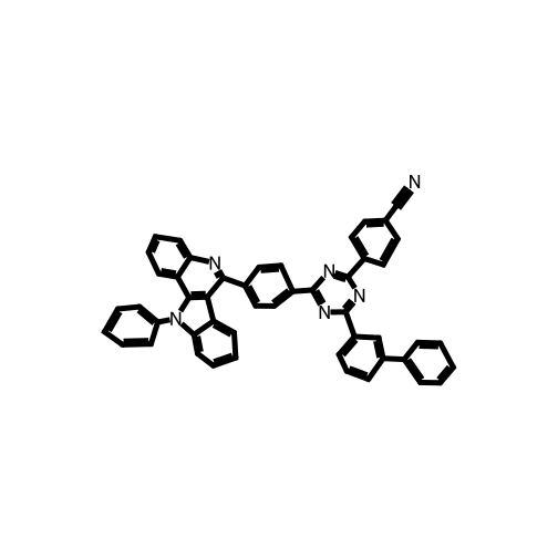 N#Cc1ccc(-c2nc(-c3ccc(-c4nc5ccccc5c5c4c4ccccc4n5-c4ccccc4)cc3)nc(-c3cccc(-c4ccccc4)c3)n2)cc1